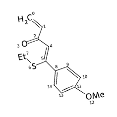 C=CC(=O)C=C(SCC)c1ccc(OC)cc1